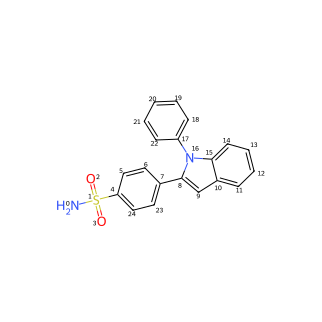 NS(=O)(=O)c1ccc(-c2cc3ccccc3n2-c2ccccc2)cc1